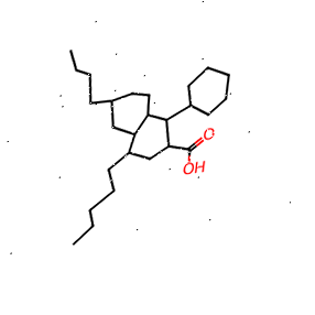 CCCCCC1CC(C(=O)O)C(C2CCCCC2)C2CCC(CCCC)CC12